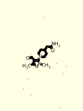 Cc1nn(C)c(N2CCC(CC(N)=O)CC2)c1C=O